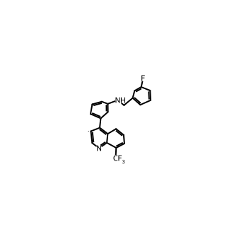 Fc1cccc(CNc2cccc(-c3[c]cnc4c(C(F)(F)F)cccc34)c2)c1